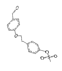 CS(=O)(=O)Oc1ccc(CCOc2ccc(C=O)cc2)cc1